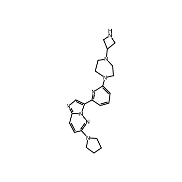 c1cc(-c2cnc3ccc(N4CCCC4)nn23)nc(N2CCN(C3CNC3)CC2)c1